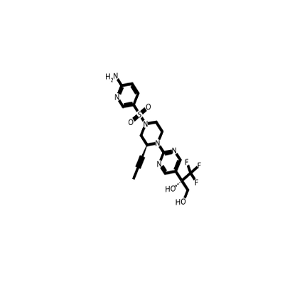 CC#C[C@H]1CN(S(=O)(=O)c2ccc(N)nc2)CCN1c1ncc([C@](O)(CO)C(F)(F)F)cn1